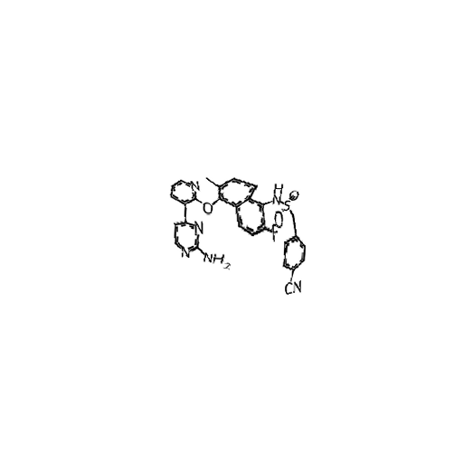 Cc1ccc2c(NS(=O)(=O)Cc3ccc(C#N)cc3)c(F)ccc2c1Oc1ncccc1-c1ccnc(N)n1